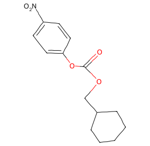 O=C(OCC1CCCCC1)Oc1ccc([N+](=O)[O-])cc1